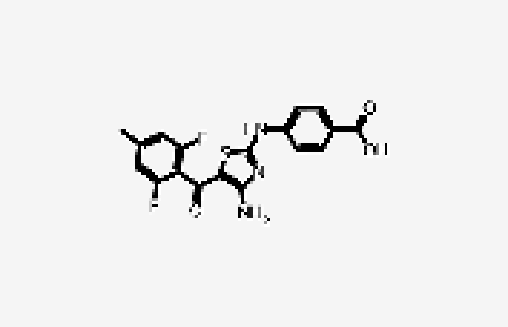 Cc1cc(F)c(C(=O)c2sc(Nc3ccc(C(=O)O)cc3)nc2N)c(F)c1